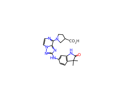 CC1(C)C(=O)Nc2cc(Nc3nc4c(N5CCC(C(=O)O)C5)nccn4n3)ccc21